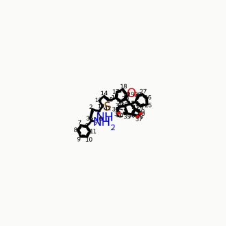 N=C(/C=C\C(N)c1ccccc1)C1CC=C(c2ccc3c(c2)C2(c4ccccc4O3)c3ccccc3-c3ccccc32)S1